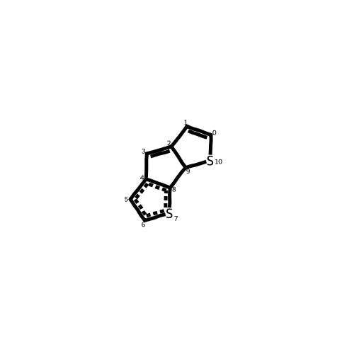 C1=CC2=Cc3ccsc3C2S1